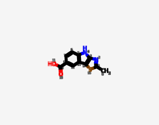 Cc1nc2[nH]c3ccc(C(=O)O)cc3c2s1